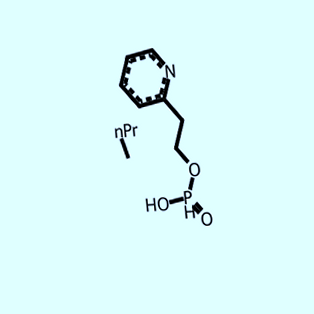 CCCC.O=[PH](O)OCCc1ccccn1